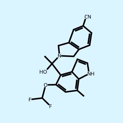 Cc1cc(OC(F)F)c(C(C)(O)N2Cc3ccc(C#N)cc3C2)c2cc[nH]c12